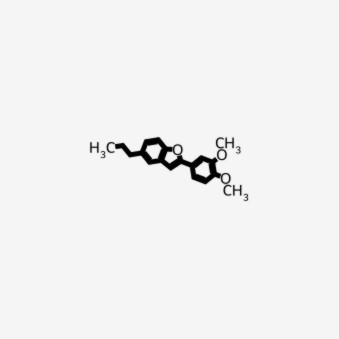 CCCc1ccc2oc(-c3ccc(OC)c(OC)c3)cc2c1